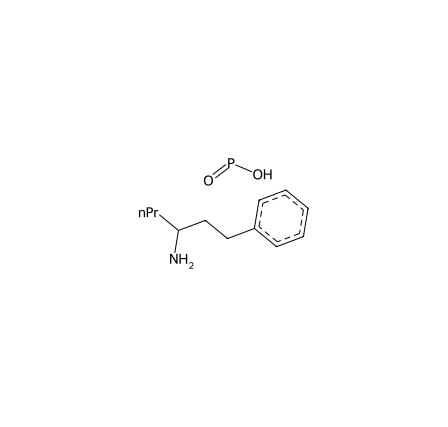 CCCC(N)CCc1ccccc1.O=PO